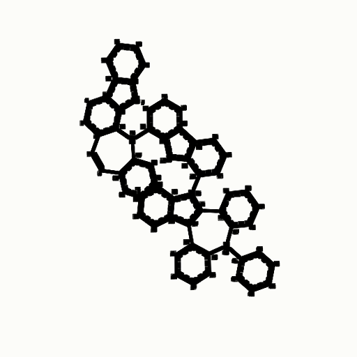 C1=Cc2ccc3c(sc4ccccc43)c2N(c2cccc3c2sc2c(-n4c5c(c6ccccc64)-c4ccccc4N(c4ccccc4)c4ccccc4-5)cccc23)c2ccccc21